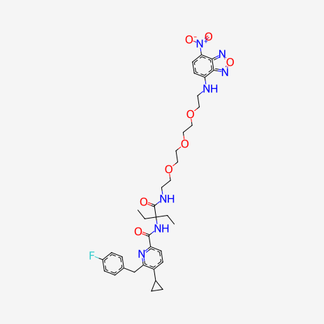 CCC(CC)(NC(=O)c1ccc(C2CC2)c(Cc2ccc(F)cc2)n1)C(=O)NCCOCCOCCOCCNc1ccc([N+](=O)[O-])c2nonc12